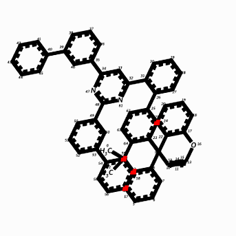 CC1(C)c2ccccc2C2(c3ccccc3Oc3ccccc32)c2cc(-c3ccccc3-c3cc(-c4cccc(-c5ccccc5)c4)nc(-c4cccc(-c5ccccc5)c4)n3)ccc21